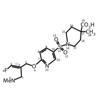 CNC/C(=C\F)COc1ccc(S(=O)(=O)N2CCC(C)(C(=O)O)CC2)cn1